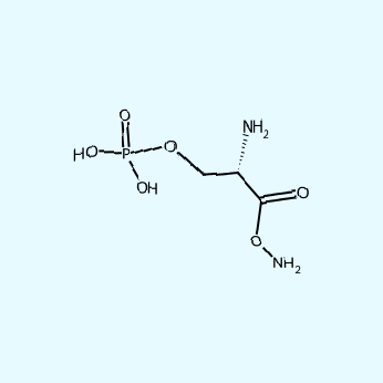 NOC(=O)[C@@H](N)COP(=O)(O)O